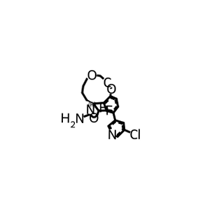 NC1=N[C@@]2(CCCCOCCOc3ccc(-c4cncc(Cl)c4)cc32)C(F)(F)CO1